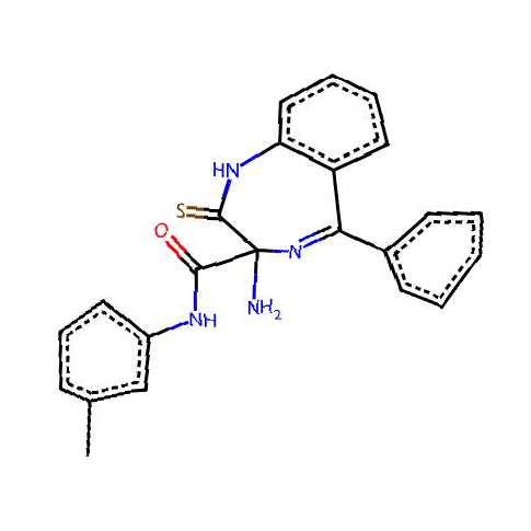 Cc1cccc(NC(=O)C2(N)N=C(c3ccccc3)c3ccccc3NC2=S)c1